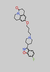 O=C1CCc2cc(OCCCCN3CCC(c4noc5cc(F)ccc45)CC3)cc3c2N1CCC3